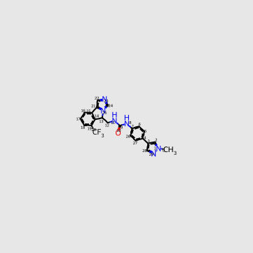 Cn1cc(-c2ccc(NC(=O)NCC3c4c(cccc4C(F)(F)F)-c4cncn43)cc2)cn1